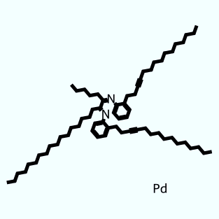 CCCCCCCCCCCC#CCCc1ccccc1N=C(CCCCC)C(CCCCCCCCCCCCCCCCC)=Nc1ccccc1CCC#CCCCCCCCCCCC.[Pd]